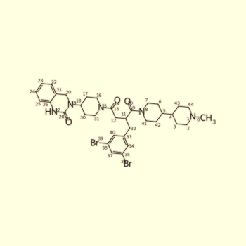 CN1CCC(C2CCN(C(=O)C(CC(=O)N3CCC(N4Cc5ccccc5NC4=O)CC3)Cc3cc(Br)cc(Br)c3)CC2)CC1